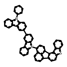 c1ccc(-n2c3ccccc3c3cc(-c4ccc5c(c4)c4ccccc4n5-c4ccc5c6c(cccc46)-c4ccc6sc7ccccc7c6c4-5)ccc32)cc1